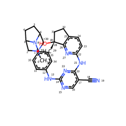 CN1CC2CCC(C1)N2c1ccc(Nc2ncc(C#N)c(Nc3ccc4c(n3)[C@](C)(O)CC4)n2)cc1